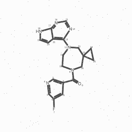 O=C(c1cncc(F)c1)N1CCN(c2ncnc3[nH]ccc23)CC2(CC2)C1